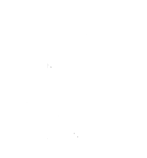 c1ccc(-c2c3ccccc3c(-c3nc4ccccc4c4c3ccc3ncc5ccccc5c34)c3ccccc23)cc1